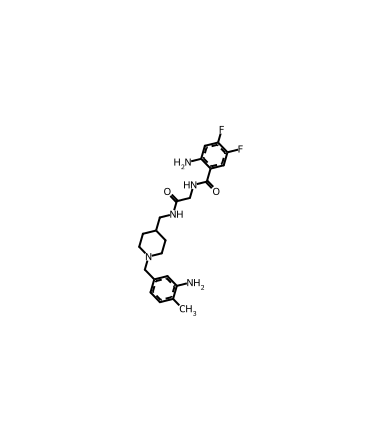 Cc1ccc(CN2CCC(CNC(=O)CNC(=O)c3cc(F)c(F)cc3N)CC2)cc1N